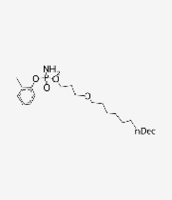 CCCCCCCCCCCCCCCCOCCCOP(N)(=O)Oc1ccccc1C